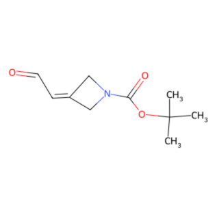 CC(C)(C)OC(=O)N1CC(=CC=O)C1